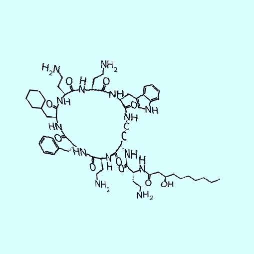 CCCCCCC[C@@H](O)CC(=O)N[C@H](CCN)C(=O)N[C@H]1CCNC(=O)[C@H](Cc2c[nH]c3ccccc23)NC(=O)[C@H](CCN)NC(=O)[C@H](CCN)NC(=O)[C@H](CC2CCCCC2)NC(=O)[C@@H](Cc2ccccc2)NC(=O)[C@H](CCN)NC1=O